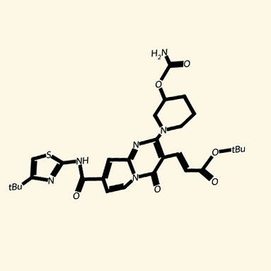 CC(C)(C)OC(=O)C=Cc1c(N2CCCC(OC(N)=O)C2)nc2cc(C(=O)Nc3nc(C(C)(C)C)cs3)ccn2c1=O